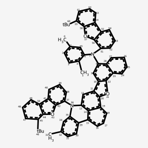 Cc1ccc(C)c(N(c2cc3c4cc5c6c(cccc6c4oc3c3ccccc23)-c2ccc(C)cc2N5c2cccc3c2oc2c(C(C)(C)C)cccc23)c2cccc3c2oc2c(C(C)(C)C)cccc23)c1